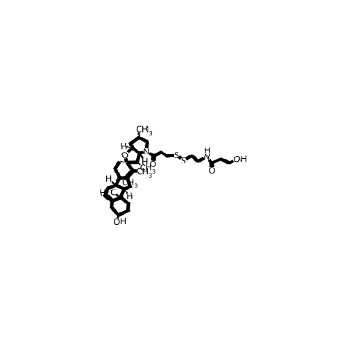 CC1=C2C[C@@H]3[C@H](CC=C4C[C@H](O)CC[C@]43C)[C@@]2(C)CC[C@@]12O[C@H]1C[C@@H](C)CN(C(=O)CCSSCCNC(=O)CCO)[C@@H]1[C@@H]2C